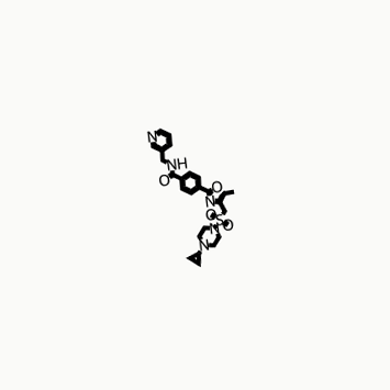 Cc1oc(-c2ccc(C(=O)NCc3cccnc3)cc2)nc1CS(=O)(=O)N1CCN(C2CC2)CC1